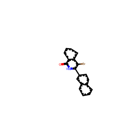 O=c1[nH]c(-c2ccc3ccccc3c2)c(Br)c2ccccc12